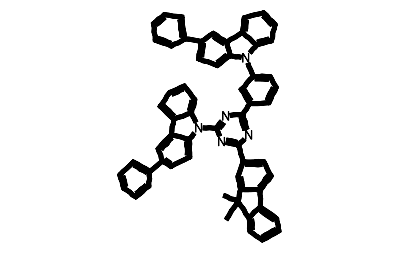 CC1(C)c2ccccc2-c2ccc(-c3nc(-c4cccc(-n5c6ccccc6c6cc(-c7ccccc7)ccc65)c4)nc(-n4c5ccccc5c5cc(-c6ccccc6)ccc54)n3)cc21